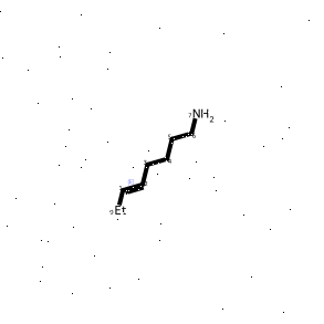 CC/C=C/CCCCN